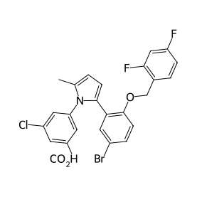 Cc1ccc(-c2cc(Br)ccc2OCc2ccc(F)cc2F)n1-c1cc(Cl)cc(C(=O)O)c1